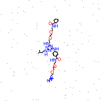 CC(C)CCNc1nc(NCCOCCOCCNC(=O)c2ccccc2)nc(Nc2ccc(C(=O)NCCOCCOCCN=[N+]=[N-])cc2)n1